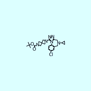 CC(C)(C)OC(=O)N1CC2(C1)CN(c1nnc3n1-c1ccc(Cl)cc1CN(C1CC1)C3)C2